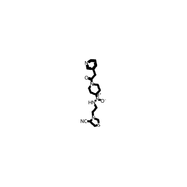 N#CC1CSCN1CCN[NH+]([O-])C1CCN(C(=O)Cc2cccnc2)CC1